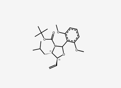 C=C[C@@H]1OC(c2c(OC)cccc2OC)N(C(=O)OC(C)(C)C)[C@H]1CC(C)C